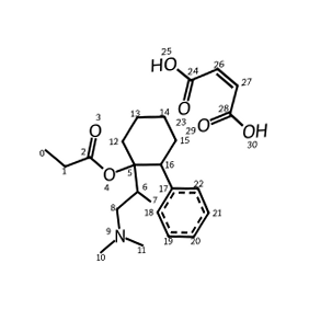 CCC(=O)OC1(C(C)CN(C)C)CCCCC1c1ccccc1.O=C(O)/C=C\C(=O)O